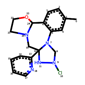 Cc1ccc2c(c1)N1CN(Cl)NC1(c1ccccn1)CN1CCOC21